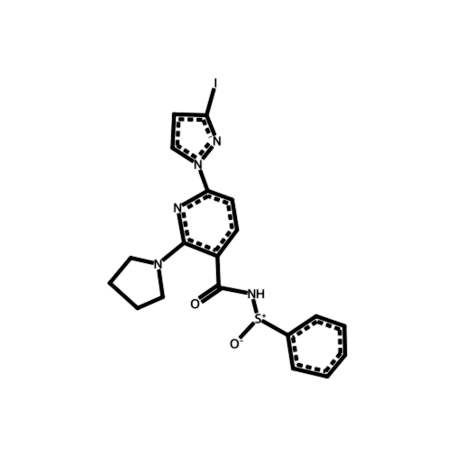 O=C(N[S+]([O-])c1ccccc1)c1ccc(-n2ccc(I)n2)nc1N1CCCC1